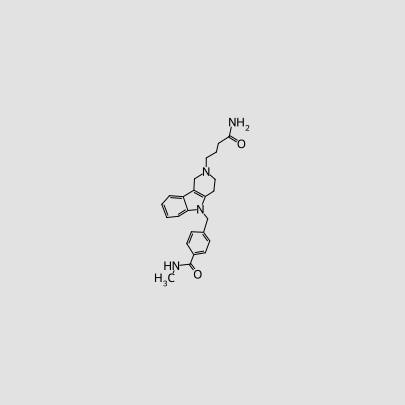 CNC(=O)c1ccc(Cn2c3c(c4ccccc42)CN(CCCC(N)=O)CC3)cc1